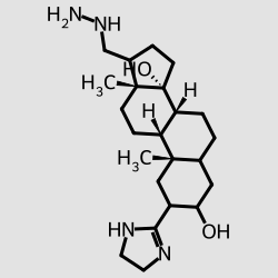 C[C@]12CC(C3=NCCN3)C(O)CC1CC[C@@H]1[C@H]2CC[C@]2(C)C(CNN)CC[C@@]12O